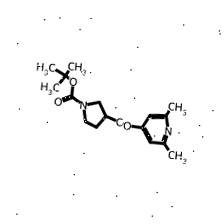 Cc1cc(OCC2CCN(C(=O)OC(C)(C)C)C2)cc(C)n1